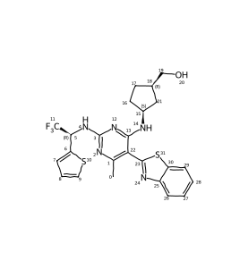 Cc1nc(N[C@@H](c2cccs2)C(F)(F)F)nc(N[C@H]2CC[C@@H](CO)C2)c1-c1nc2ccccc2s1